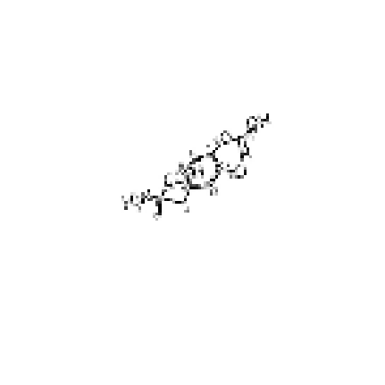 C[C@](N)(Cc1ccc(OBO)c(Cl)c1)C(=O)O